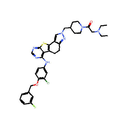 CCN(CC)CC(=O)N1CCC(Cn2cc3c(n2)CCc2c-3sc3ncnc(Nc4ccc(OCc5cccc(F)c5)c(Cl)c4)c23)CC1